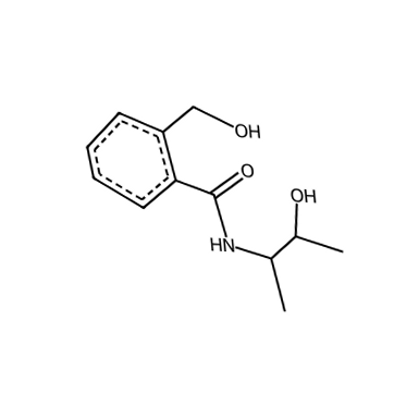 CC(O)C(C)NC(=O)c1ccccc1CO